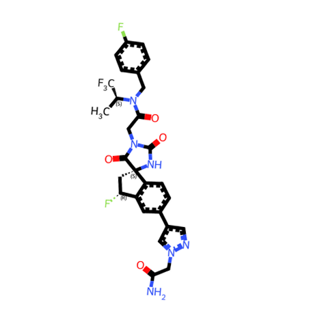 C[C@H](N(Cc1ccc(F)cc1)C(=O)CN1C(=O)N[C@]2(C[C@@H](F)c3cc(-c4cnn(CC(N)=O)c4)ccc32)C1=O)C(F)(F)F